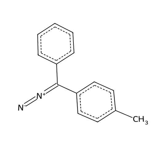 Cc1ccc(C(=[N+]=[N-])c2ccccc2)cc1